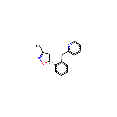 CC1=NO[C@@H](c2ccccc2Cc2ccccn2)C1